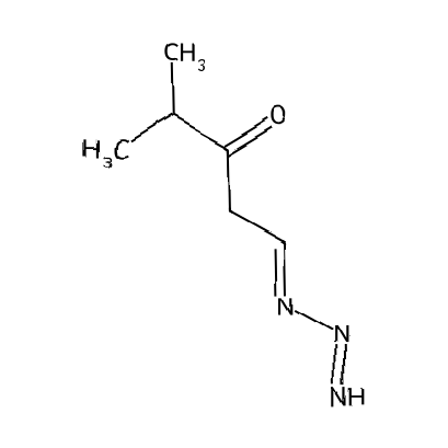 CC(C)C(=O)C/C=N/N=N